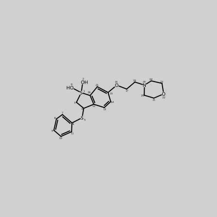 OS1(O)CC(Sc2ccccc2)c2ccc(OCCN3CCOCC3)cc21